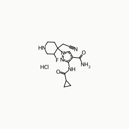 Cl.N#CCC1(n2cc(C(N)=O)c(NC(=O)C3CC3)n2)CCNCC1F